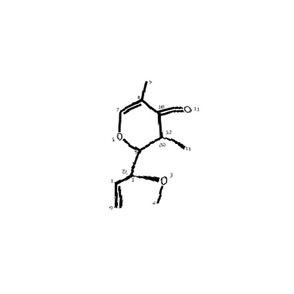 C=C[C@H](OC)C1OC=C(C)C(=O)[C@H]1C